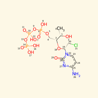 C[C@H](O)[C@@H](COP(=O)(O)OP(=O)(O)OP(=O)(O)O)O[C@H](CCl)n1ccc(N)nc1=O